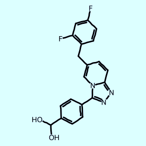 OC(O)c1ccc(-c2nnc3ccc(Cc4ccc(F)cc4F)cn23)cc1